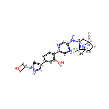 CN(c1cnc(-c2ccc(-c3cnn(C4COC4)c3)cc2O)cn1)[C@H]1C[C@@H]2CC[C@@H](N2)[C@H]1F